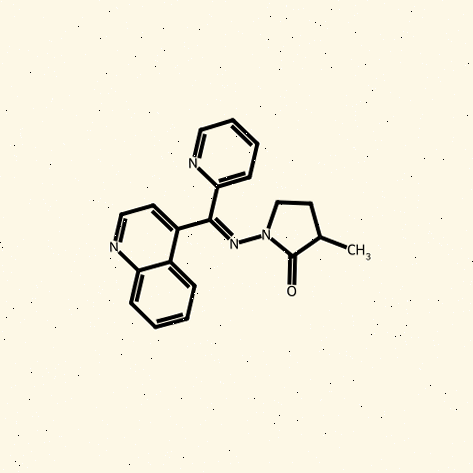 CC1CCN(N=C(c2ccccn2)c2ccnc3ccccc23)C1=O